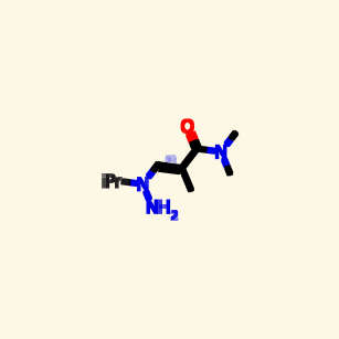 C/C(=C\N(N)C(C)C)C(=O)N(C)C